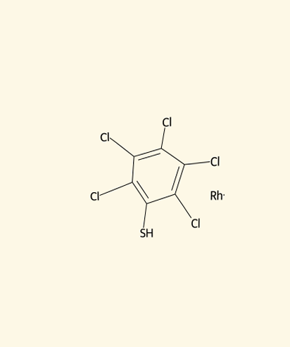 Sc1c(Cl)c(Cl)c(Cl)c(Cl)c1Cl.[Rh]